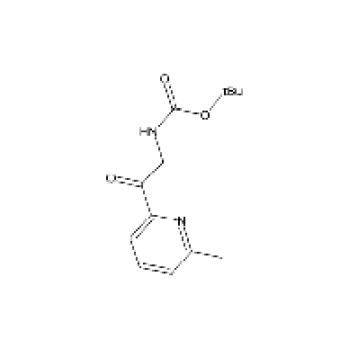 Cc1cccc(C(=O)CNC(=O)OC(C)(C)C)n1